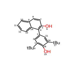 CC(C)(C)c1cc(-c2c(O)ccc3ccccc23)cc(C(C)(C)C)c1O